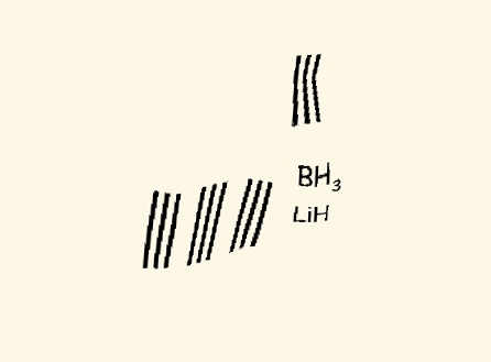 B.C#C.C#C.C#C.C#C.[LiH]